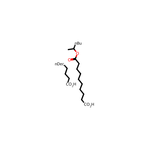 CCCCC(C)OC(=O)CCCCCCCCC(=O)O.CCCCCCCCCCCCCC(=O)O